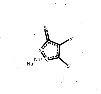 S=c1ssc([S-])c1[S-].[Na+].[Na+]